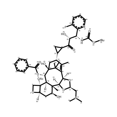 CC(=O)O[C@@]12CO[C@@H]1C[C@H](O)[C@@]1(C)[C@@H]3O[C@H](CN(C)C)O[C@@H]3C3=C(C)[C@@H](C4CC4C(=O)[C@H](O)[C@@H](NC(=O)OC(C)(C)C)c4ncccc4F)C[C@@](O)([C@@H](OC(=O)c4ccccc4)[C@H]21)C3(C)C